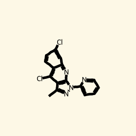 Cc1nn(-c2ccccn2)c2nc3cc(Cl)ccc3c(Cl)c12